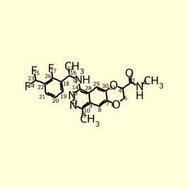 CNC(=O)C1COc2cc3c(C)nnc(N[C@H](C)c4cccc(C(F)F)c4F)c3cc2O1